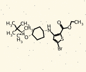 CCOC(=O)c1sc(Br)cc1N[C@H]1CC[C@@H](O[Si](C)(C)C(C)(C)C)CC1